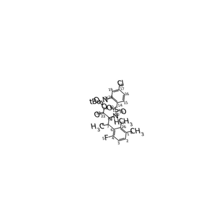 Cc1ccc(F)c(C(C)[C@H](NS(=O)(=O)c2ccc(Cl)cc2[N+](=O)[O-])C(=O)OC(C)(C)C)c1C